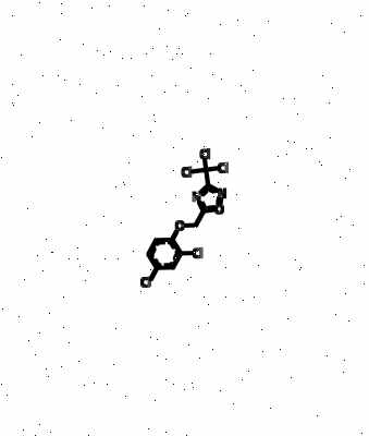 Clc1ccc(OCc2nc(C(Cl)(Cl)Cl)no2)c(Cl)c1